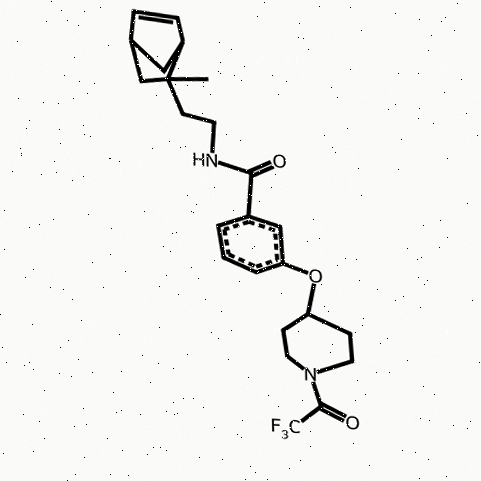 CC1(CCNC(=O)c2cccc(OC3CCN(C(=O)C(F)(F)F)CC3)c2)CC2C=CC1C2